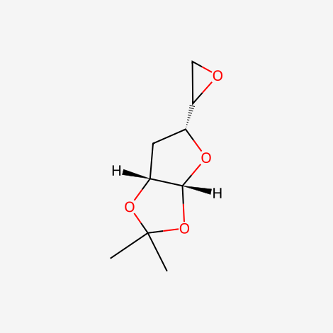 CC1(C)O[C@H]2O[C@@H](C3CO3)C[C@H]2O1